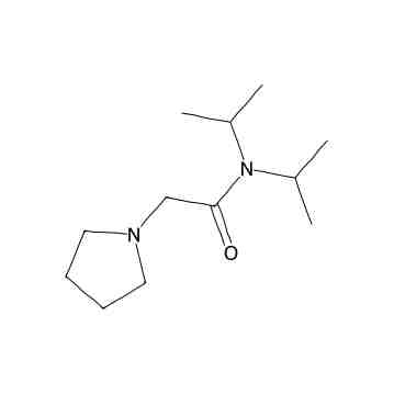 CC(C)N(C(=O)CN1CCCC1)C(C)C